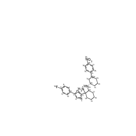 NC1(c2ncc(-c3ccc(F)cc3)o2)CCCCC1N[C@H]1CCCN(c2ccc([N+](=O)[O-])cc2)C1